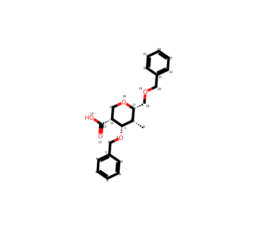 C[C@@H]1[C@H](OCc2ccccc2)[C@H](C(=O)O)CO[C@@H]1COCc1ccccc1